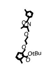 Cc1cccc(-c2nc(COCCCOCc3cccc(C)c3C(=O)OC(C)(C)C)c(C)o2)c1